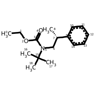 CCOC(=O)N(C[C@H](C)c1ccccc1)C(C)(C)C